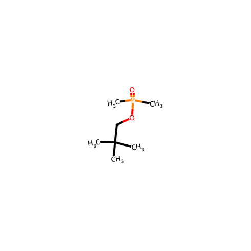 CC(C)(C)COP(C)(C)=O